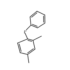 Cc1ccc([I+]c2ccccc2)c(C)c1